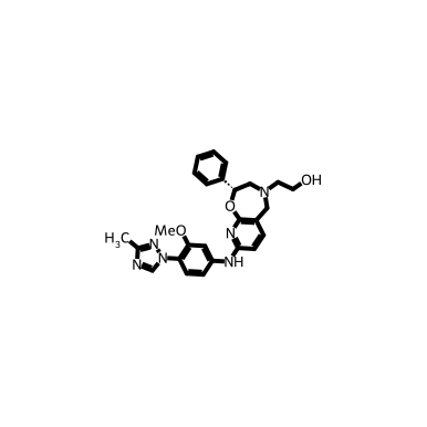 COc1cc(Nc2ccc3c(n2)O[C@H](c2ccccc2)CN(CCO)C3)ccc1-n1cnc(C)n1